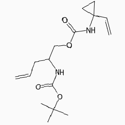 C=CCC(COC(=O)NC1(C=C)CC1)NC(=O)OC(C)(C)C